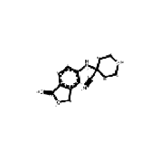 N#CC1(Nc2ccc3c(c2)COC3=O)CCOCC1